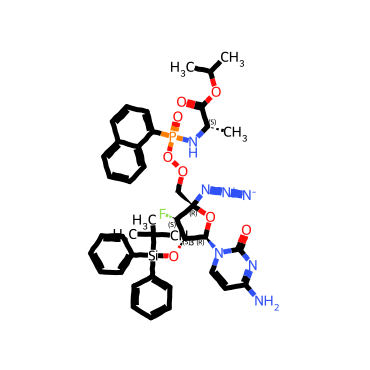 CC(C)OC(=O)[C@H](C)NP(=O)(OOC[C@@]1(N=[N+]=[N-])O[C@@H](n2ccc(N)nc2=O)[C@H](O[Si](c2ccccc2)(c2ccccc2)C(C)(C)C)[C@@H]1F)c1cccc2ccccc12